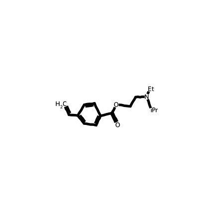 C=Cc1ccc(C(=O)OCCN(CC)C(C)C)cc1